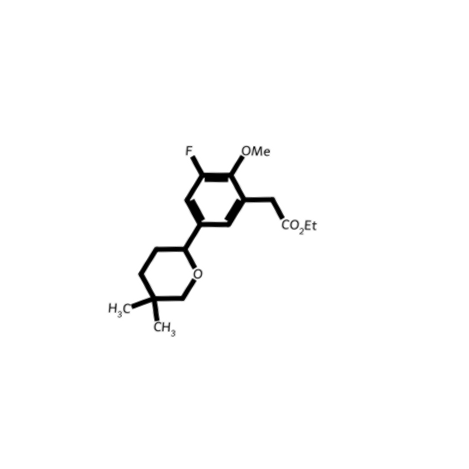 CCOC(=O)Cc1cc(C2CCC(C)(C)CO2)cc(F)c1OC